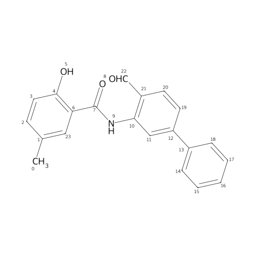 Cc1ccc(O)c(C(=O)Nc2cc(-c3ccccc3)ccc2C=O)c1